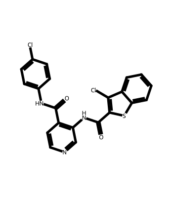 O=C(Nc1ccc(Cl)cc1)c1ccncc1NC(=O)c1sc2ccccc2c1Cl